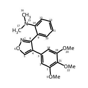 COc1cc(-c2conc2-c2ccccc2N(C)C)cc(OC)c1OC